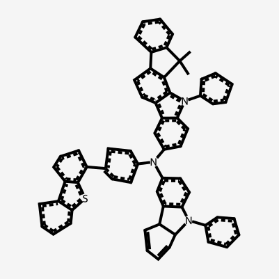 CC1(C)c2ccccc2-c2ccc3c4cc(N(c5ccc(-c6cccc7c6sc6ccccc67)cc5)c5ccc6c(c5)C5C=CC=CC5N6c5ccccc5)ccc4n(-c4ccccc4)c3c21